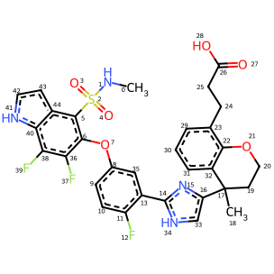 CNS(=O)(=O)c1c(Oc2ccc(F)c(-c3nc(C4(C)CCOc5c(CCC(=O)O)cccc54)c[nH]3)c2)c(F)c(F)c2[nH]ccc12